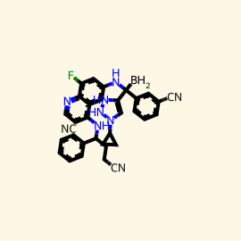 BC(Nc1cc(F)c2ncc(C#N)c(NC(CCC#N)c3ccccc3)c2c1)(C1=CN(C2CC2)NN1)c1cccc(C#N)c1